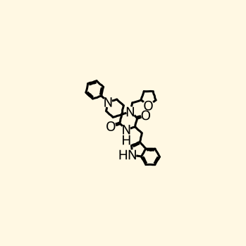 O=C1C(Cc2c[nH]c3ccccc23)NC(=O)C2(CCN(c3ccccc3)CC2)N1CC1CCCO1